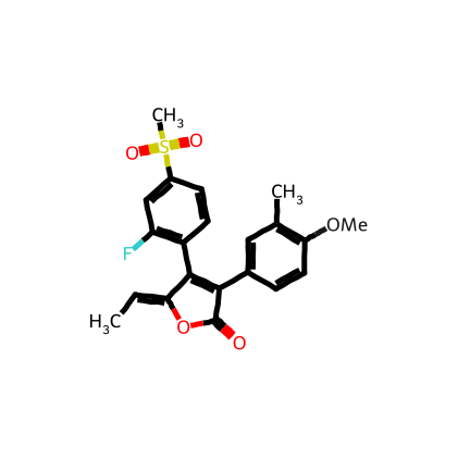 CC=C1OC(=O)C(c2ccc(OC)c(C)c2)=C1c1ccc(S(C)(=O)=O)cc1F